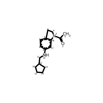 CC(=O)N1CCc2ccc(NCC3CCCC3)cc21